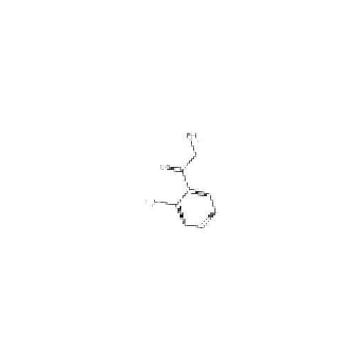 BCC(=O)c1ccccc1N